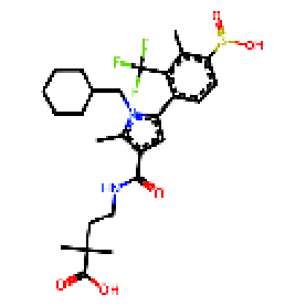 Cc1c(S(=O)O)ccc(-c2cc(C(=O)NCCC(C)(C)C(=O)O)c(C)n2CC2CCCCC2)c1C(F)(F)F